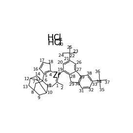 C[C](C)=[Zr]([C]1=C(C23CC4CC(CC(C4)C2)C3)C=CC1)[c]1cc(C(C)(C)C)cc2c1Cc1ccc(C(C)(C)C)cc1-2.Cl.Cl